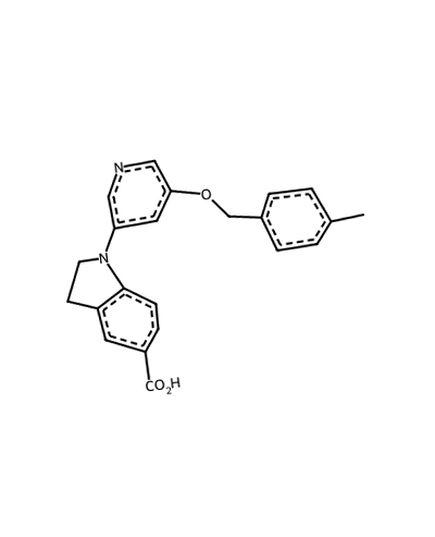 Cc1ccc(COc2cncc(N3CCc4cc(C(=O)O)ccc43)c2)cc1